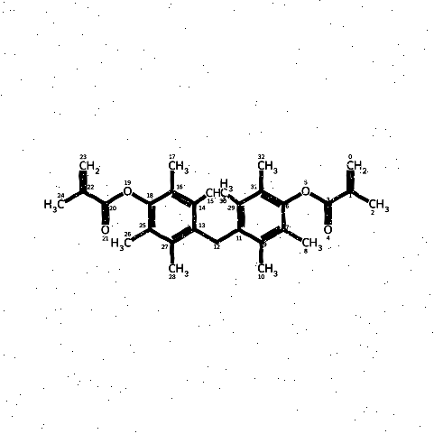 C=C(C)C(=O)Oc1c(C)c(C)c(Cc2c(C)c(C)c(OC(=O)C(=C)C)c(C)c2C)c(C)c1C